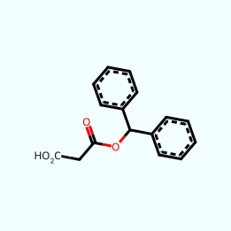 O=C(O)CC(=O)OC(c1ccccc1)c1ccccc1